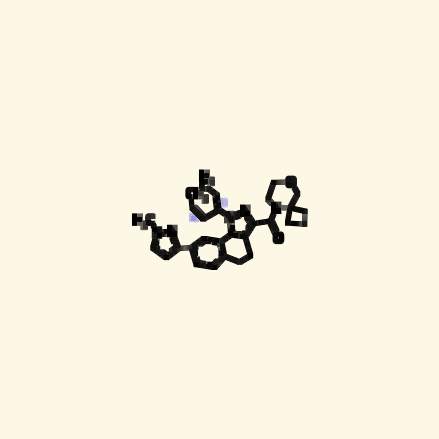 C/C=C\C(=C/C)n1nc(C(=O)N2CCOCC23CCC3)c2c1-c1cc(-c3ccn(C)n3)ccc1CC2